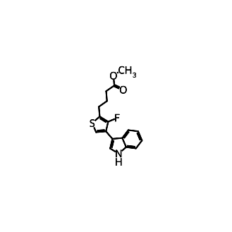 COC(=O)CCCc1scc(-c2c[nH]c3ccccc23)c1F